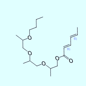 C/C=C/C=C/C(=O)OCC(C)OCC(C)OCC(C)OCCCC